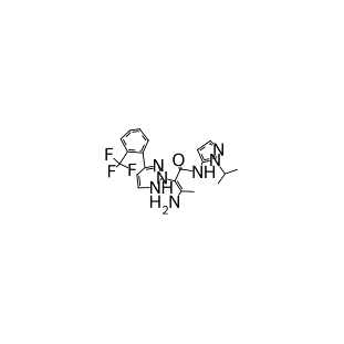 C/C(N)=C(\C(=O)Nc1ccnn1C(C)C)N1N=C(c2ccccc2C(F)(F)F)C=CN1